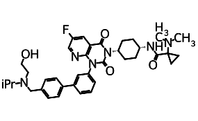 CC(C)N(CCO)Cc1ccc(-c2cccc(-n3c(=O)n([C@H]4CC[C@@H](NC(=O)C5(N(C)C)CC5)CC4)c(=O)c4cc(F)cnc43)c2)cc1